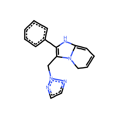 C1=CCN2C(=C1)NC(c1ccccc1)=C2Cn1nccn1